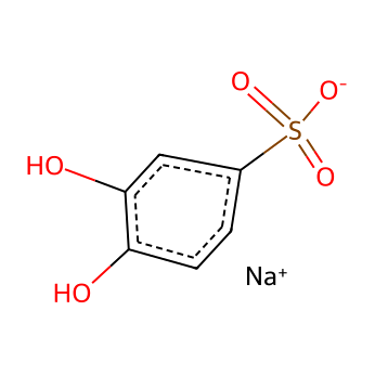 O=S(=O)([O-])c1ccc(O)c(O)c1.[Na+]